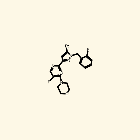 CCc1cc(-c2ncc(F)c(N3CCOCC3)n2)nn1Cc1ccccc1F